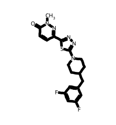 Cn1nc(-c2nnc(N3CCC(Cc4cc(F)cc(F)c4)CC3)s2)ccc1=O